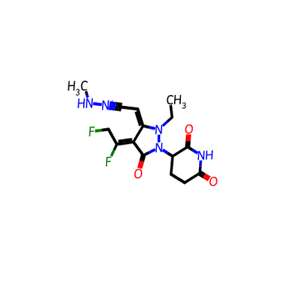 CCn1c(=C/C#[N+]NC)/c(=C(/F)CF)c(=O)n1C1CCC(=O)NC1=O